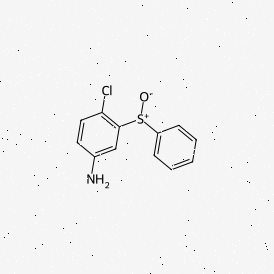 Nc1ccc(Cl)c([S+]([O-])c2ccccc2)c1